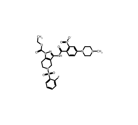 CCOC(=O)n1nc(NC(=O)c2ccc(N3CCN(C)CC3)cc2[N+](=O)[O-])c2c1CCN(S(=O)(=O)c1ccccc1F)C2